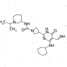 CC(C)N1CCCC(NC(=O)N2CC(c3nc(NC4CCCCC4)c(C=N)c(=O)[nH]3)C2)C1